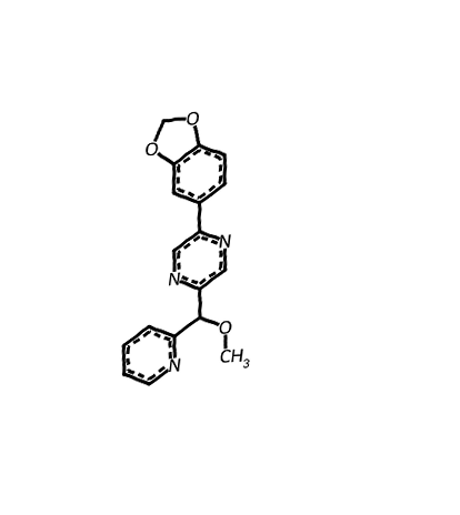 COC(c1ccccn1)c1cnc(-c2ccc3c(c2)OCO3)cn1